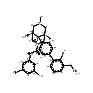 CN1C[C@@H]2CN(C(=O)Nc3cc(F)cc(F)c3)C[C@H](C1)C2(O)c1ccc(-c2cccc(CN)c2F)cc1